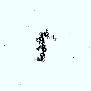 CNC(=O)c1ccc(-c2ccc3cc(-c4nc5cc(C(=O)N6C[C@H](N)C[C@@H](F)C6)cc(OC)c5n4C)n(CC4CC4)c3n2)cn1